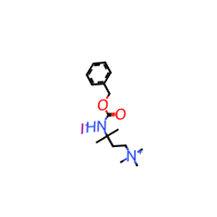 CC(C)(CC[N+](C)(C)C)NC(=O)OCc1ccccc1.[I-]